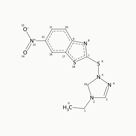 CCN1C=NN(Sc2nc3ccc([N+](=O)[O-])cc3s2)C1